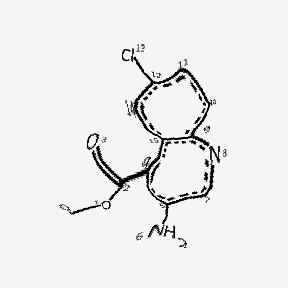 COC(=O)c1c(N)cnc2ccc(Cl)cc12